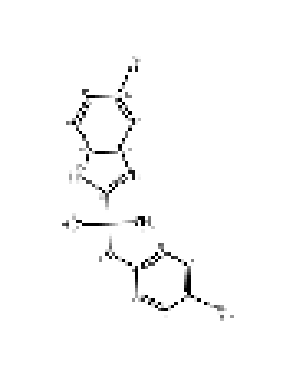 CC(C)(Oc1ccc(N)cc1)c1nc2cc(Cl)ccc2[nH]1